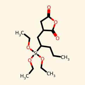 CCCC(CC1CC(=O)OC1=O)[Si](OCC)(OCC)OCC